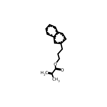 C=C(C)C(=O)OCCCc1ccc2ccccc2c1